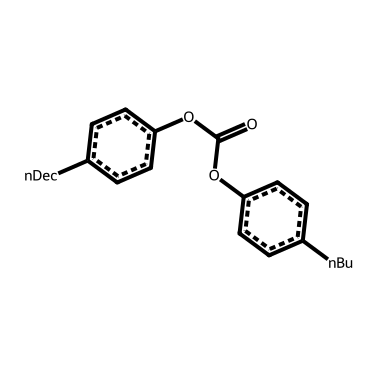 CCCCCCCCCCc1ccc(OC(=O)Oc2ccc(CCCC)cc2)cc1